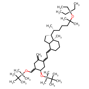 C=C1CC(=CO[Si](C)(C)C(C)(C)C)[C@H](O[Si](C)(C)C(C)(C)C)C/C1=C/C=C1CCC[C@@]2(C)C1CC[C@@H]2[C@H](C)CCCC(C)(C)O[Si](CC)(CC)CC